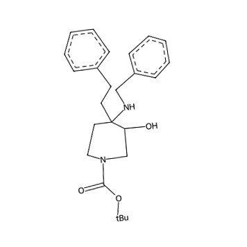 CC(C)(C)OC(=O)N1CCC(CCc2ccccc2)(NCc2ccccc2)C(O)C1